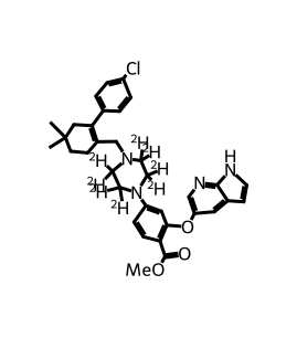 [2H]C1([2H])N(CC2=C(c3ccc(Cl)cc3)CC(C)(C)CC2)C([2H])([2H])C([2H])([2H])N(c2ccc(C(=O)OC)c(Oc3cnc4[nH]ccc4c3)c2)C1([2H])[2H]